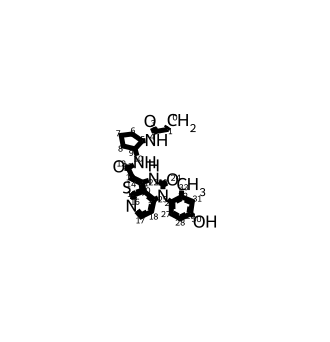 C=CC(=O)NC1CCCC1NC(=O)c1sc2nccc3c2c1NC(=O)N3c1ccc(O)cc1C